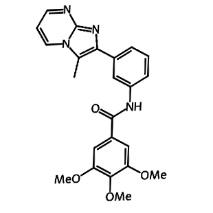 COc1cc(C(=O)Nc2cccc(-c3nc4ncccn4c3C)c2)cc(OC)c1OC